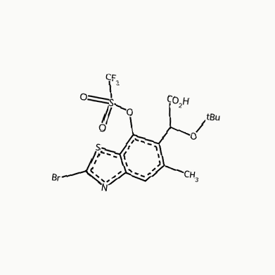 Cc1cc2nc(Br)sc2c(OS(=O)(=O)C(F)(F)F)c1C(OC(C)(C)C)C(=O)O